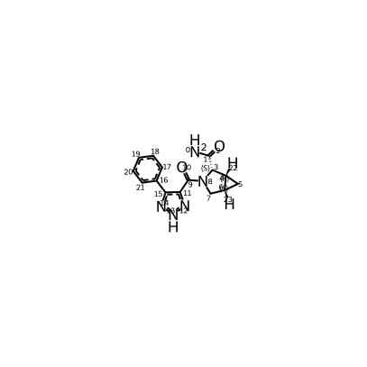 NC(=O)[C@@H]1[C@@H]2C[C@@H]2CN1C(=O)c1n[nH]nc1-c1ccccc1